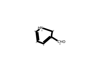 O=CC1=CC=[C]NC1